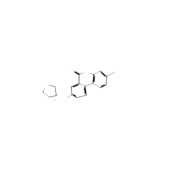 Cc1ccc2c(c1)oc(=O)c1cc(O[C@@H]3CCOC3)ccc12